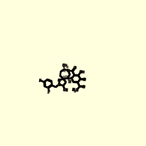 C[C@H]1CC[C@]2(CC(C#N)N(Cc3ccc(F)cc3F)O2)[C@H]2CN1C(=O)c1c(O)c(=O)c(C(N)=O)cn12